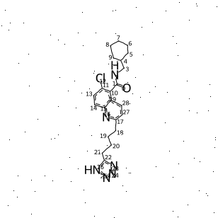 O=C(NCC1CCCCC1)c1c(Cl)ccc2nc(CCCCc3nnn[nH]3)ccc12